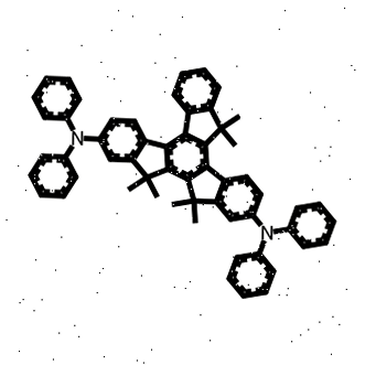 CC1(C)c2ccccc2-c2c3c(c4c(c21)-c1ccc(N(c2ccccc2)c2ccccc2)cc1C4(C)C)C(C)(C)c1cc(N(c2ccccc2)c2ccccc2)ccc1-3